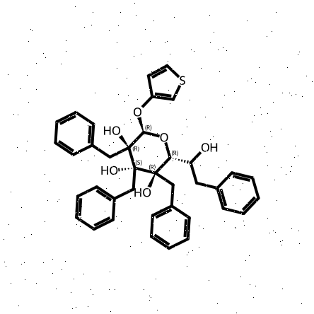 OC(Cc1ccccc1)[C@H]1O[C@H](Oc2ccsc2)[C@@](O)(Cc2ccccc2)[C@](O)(Cc2ccccc2)[C@@]1(O)Cc1ccccc1